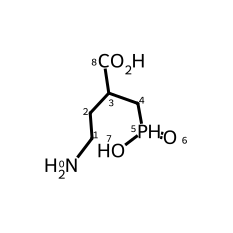 NCCC(C[PH](=O)O)C(=O)O